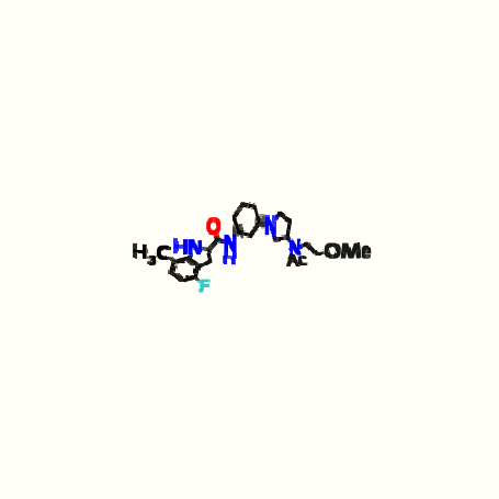 COCCN(C(C)=O)C1CCN([C@H]2CCC[C@@H](NC(=O)C3Cc4c(F)ccc(C)c4N3)C2)C1